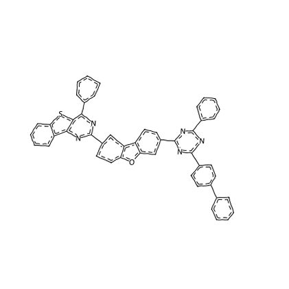 c1ccc(-c2ccc(-c3nc(-c4ccccc4)nc(-c4ccc5c(c4)oc4ccc(-c6nc(-c7ccccc7)c7sc8ccccc8c7n6)cc45)n3)cc2)cc1